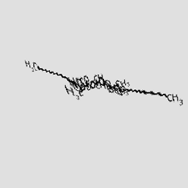 CCCCCCCC/C=C/CCCCCCCCOC(=O)C(C)CC(C)C(=O)OC1CCC(C(C)(C)C2CCC(OC(=O)C(C)CC(C)C(=O)OCCCCCCCC/C=C/CCCCCCCC)CC2)CC1